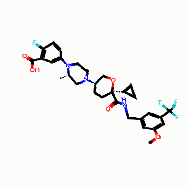 COc1cc(CNC(=O)[C@@]2(C3CC3)CC[C@@H](N3CCN(c4ccc(F)c(C(=O)O)c4)[C@@H](C)C3)CO2)cc(C(F)(F)F)c1